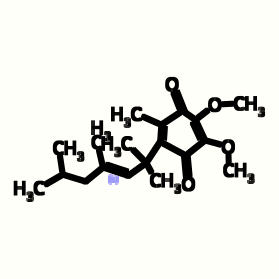 COC1=C(OC)C(=O)C(C(C)(C)/C=C(\C)CC(C)C)=C(C)C1=O